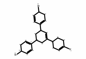 BrC1=CCC(C2=CC(C3=CCC(Br)C=C3)CC(C3=CCC(Br)C=C3)C2)CC1